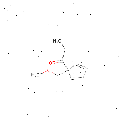 CCC(=O)C1(COC)C=CC=C1